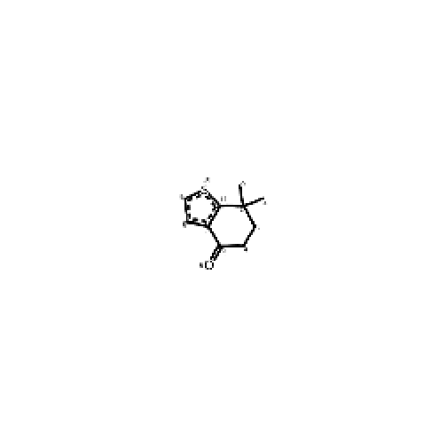 CC1(C)CCC(=O)c2ccsc21